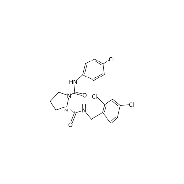 O=C(NCc1ccc(Cl)cc1Cl)[C@@H]1CCCN1C(=O)Nc1ccc(Cl)cc1